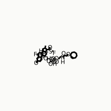 CC1C[C@H]2[C@@H]3C[C@H](F)C4=CC(=O)C=C[C@]4(C)[C@@]3(F)[C@@H](OCOP(=O)(O)OP(=O)(O)OCCNC(=O)COC3C#CCCCCC3)C[C@@]2(C)[C]1C(=O)SCF